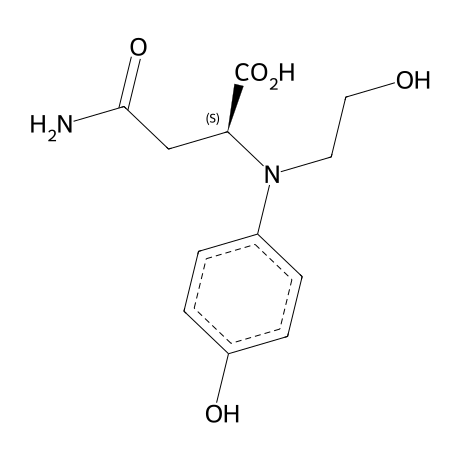 NC(=O)C[C@@H](C(=O)O)N(CCO)c1ccc(O)cc1